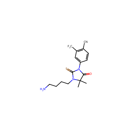 CC1(C)C(=O)N(c2ccc(C#N)c(C(F)(F)F)c2)C(=S)N1CCCCN